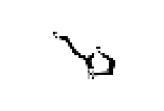 [S]CCc1nccs1